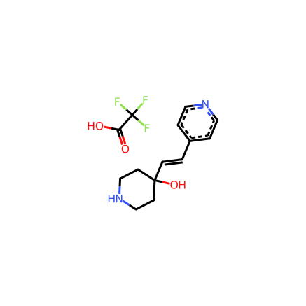 O=C(O)C(F)(F)F.OC1(C=Cc2ccncc2)CCNCC1